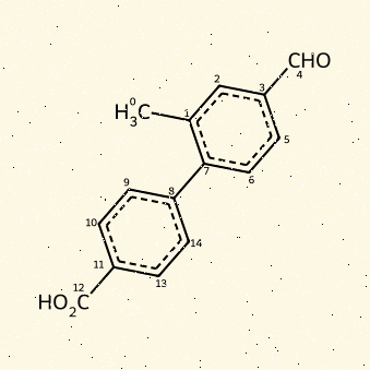 Cc1cc(C=O)ccc1-c1ccc(C(=O)O)cc1